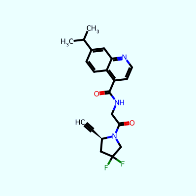 C#C[C@@H]1CC(F)(F)CN1C(=O)CNC(=O)c1ccnc2cc(C(C)C)ccc12